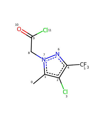 Cc1c(Cl)c(C(F)(F)F)nn1CC(=O)Cl